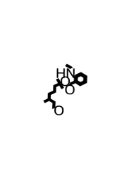 CCNc1ccccc1C(=O)OC(C)(C)CCCC(C)CC=O